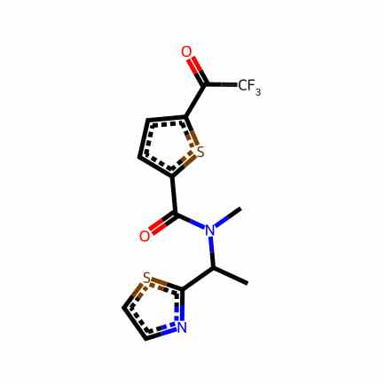 CC(c1nccs1)N(C)C(=O)c1ccc(C(=O)C(F)(F)F)s1